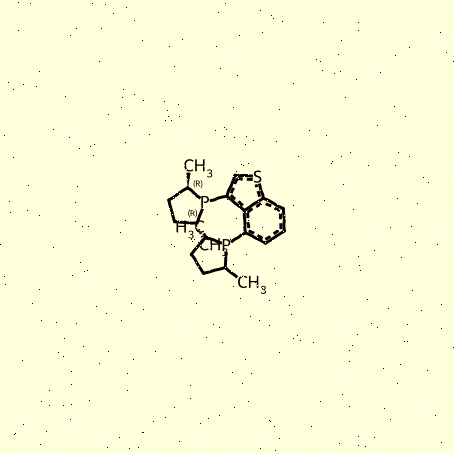 CC1CCC(C)P1c1cccc2scc(P3[C@H](C)CC[C@H]3C)c12